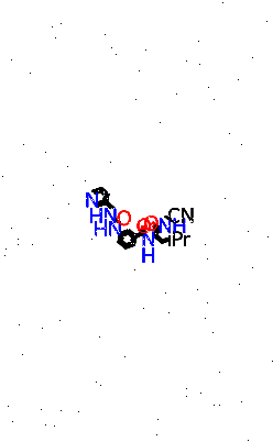 CC(C)CC(NC(=O)c1cccc(NC(=O)NCc2cccnc2)c1)C(=O)NCC#N